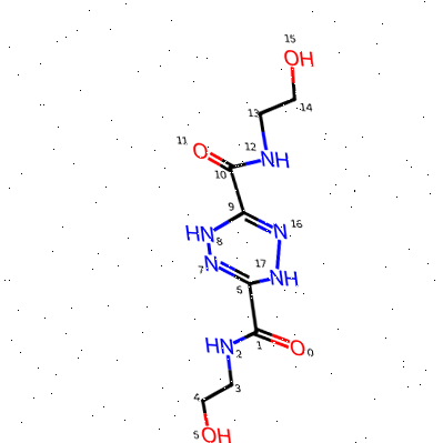 O=C(NCCO)C1=NNC(C(=O)NCCO)=NN1